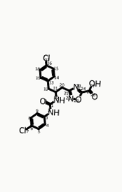 O=C(Nc1ccc(Cl)cc1)NC(Cc1ccc(Cl)cc1)Cc1noc(C(=O)O)n1